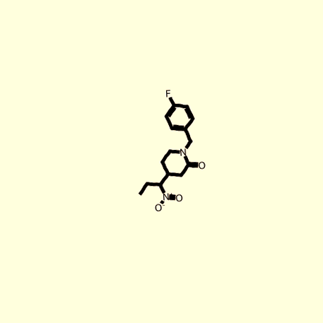 CCC(C1CCN(Cc2ccc(F)cc2)C(=O)C1)[N+](=O)[O-]